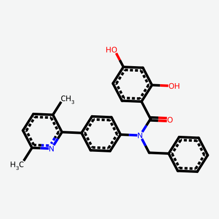 Cc1ccc(C)c(-c2ccc(N(Cc3ccccc3)C(=O)c3ccc(O)cc3O)cc2)n1